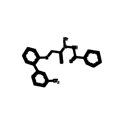 CC(C)N(NC(=O)c1ccccc1)C(=O)CSc1ccccc1-c1cccc(C(F)(F)F)c1